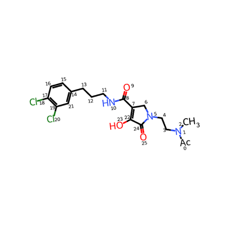 CC(=O)N(C)CCN1CC(C(=O)NCCCc2ccc(Cl)c(Cl)c2)=C(O)C1=O